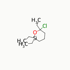 CCC1(Cl)CCC[Si](CC)(CC)O1